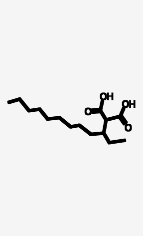 CCCCCCCCCC(CC)C(C(=O)O)C(=O)O